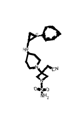 N#CCC1(N2CCC(NC3C[C@H]3c3ccccc3)CC2)CN(S(N)(=O)=O)C1